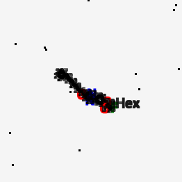 CCCCCC[C@@](C)(F)C(=O)Oc1ccc(-c2ncc(OCCCCCCCC3CCCC3)cn2)cc1